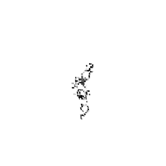 Cn1c(N2CCC3(CCCO3)CC2)nc(C(=O)NCc2ccc(F)cc2)c(O)c1=O